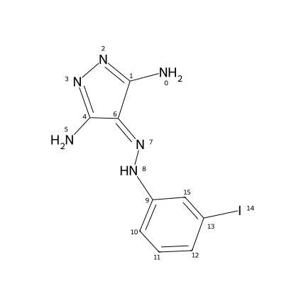 NC1=NN=C(N)C1=NNc1cccc(I)c1